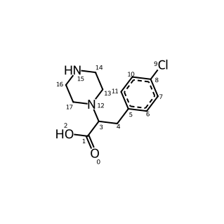 O=C(O)C(Cc1ccc(Cl)cc1)N1CCNCC1